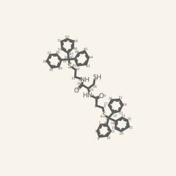 O=C(CCSC(c1ccccc1)(c1ccccc1)c1ccccc1)NC(CS)C(=O)NCCSC(c1ccccc1)(c1ccccc1)c1ccccc1